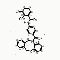 O=C(Nc1ccc(C(=O)N2Cc3ccccc3CCc3ccccc32)cc1)c1cccc(Cl)c1Cl